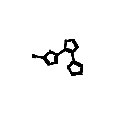 Brc1ccc(-c2sccc2-c2cccs2)s1